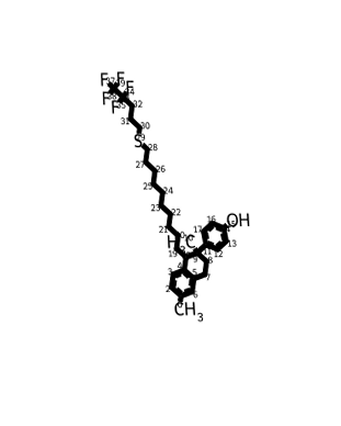 Cc1ccc2c(c1)CCC(C)(c1ccc(O)cc1)C2CCCCCCCCCCSCCCC(F)(F)C(F)(F)F